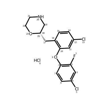 Cl.Fc1cc(Cl)ccc1Oc1cc(Cl)ccc1C[C@H]1CNCCO1